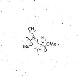 C=CCN(CCC(C)(C)C(=O)OC)C(=O)OC(C)(C)C